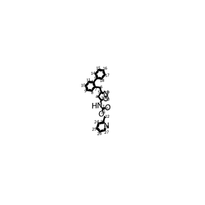 O=C(NC1CC(Cc2ccccc2-c2ccccc2)=NO1)OCc1ccccn1